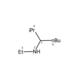 CCCCC(NCC)C(C)C